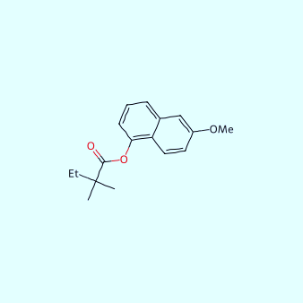 CCC(C)(C)C(=O)Oc1cccc2cc(OC)ccc12